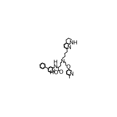 Cc1ccc(OCCN(CCCCc2ccc3c(n2)NCCC3)CCC(Nc2cc(-c3ccccc3)ccn2)C(=O)O)cn1